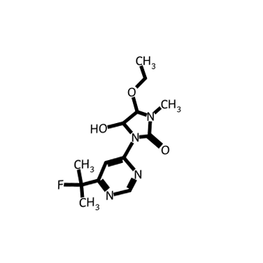 CCOC1C(O)N(c2cc(C(C)(C)F)ncn2)C(=O)N1C